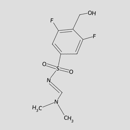 CN(C)C=NS(=O)(=O)c1cc(F)c(CO)c(F)c1